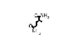 NC(=O)CCC(I)C(N)=O